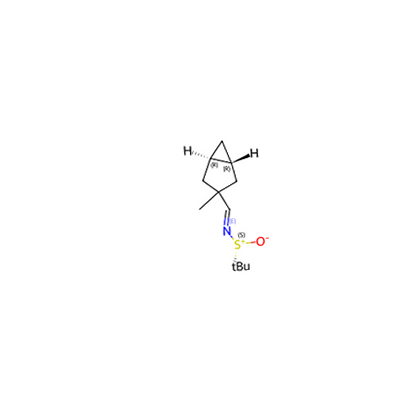 CC1(/C=N/[S@+]([O-])C(C)(C)C)C[C@H]2C[C@@H]2C1